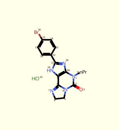 CCCN1C(=O)N2CCN=C2c2[nH]c(-c3ccc(Br)cc3)nc21.Cl